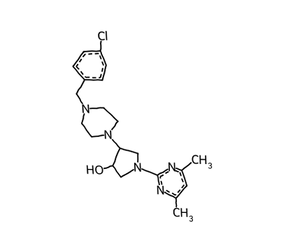 Cc1cc(C)nc(N2CC(O)C(N3CCN(Cc4ccc(Cl)cc4)CC3)C2)n1